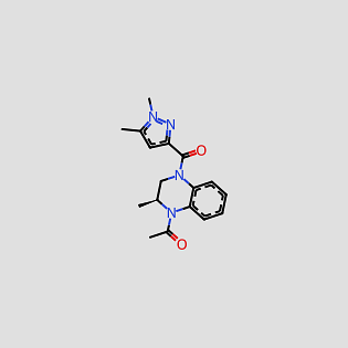 CC(=O)N1c2ccccc2N(C(=O)c2cc(C)n(C)n2)C[C@@H]1C